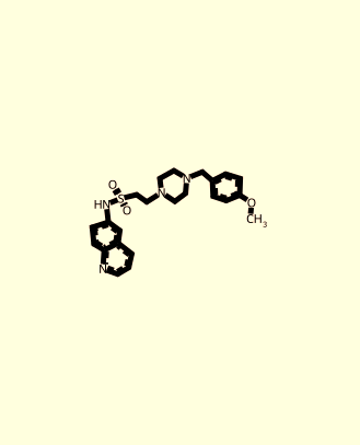 COc1ccc(CN2CCN(CCS(=O)(=O)Nc3ccc4ncccc4c3)CC2)cc1